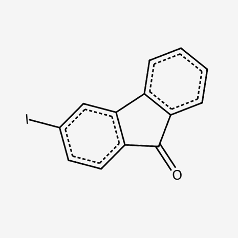 O=C1c2ccccc2-c2cc(I)ccc21